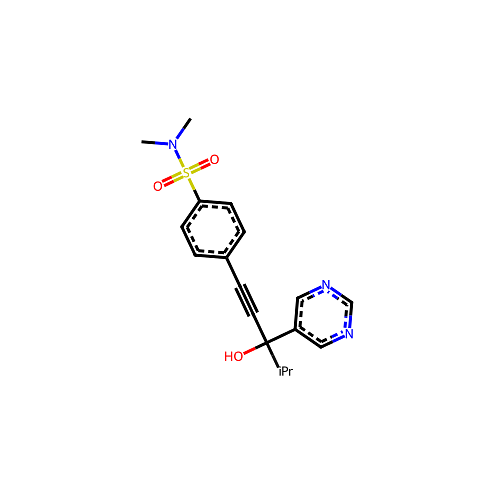 CC(C)C(O)(C#Cc1ccc(S(=O)(=O)N(C)C)cc1)c1cncnc1